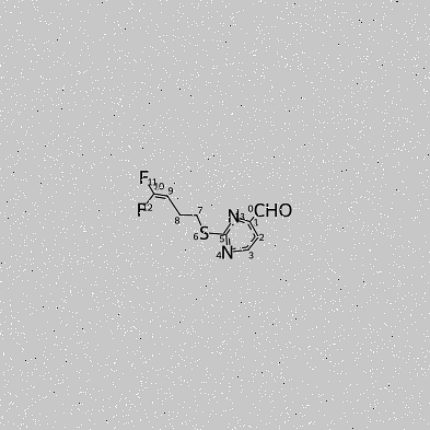 O=Cc1ccnc(SCCC=C(F)F)n1